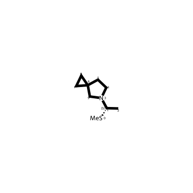 CS[C@@H](C)N1CCC2(CC2)C1